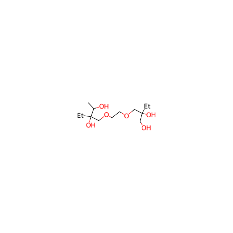 CCC(O)(CO)COCCOCC(O)(CC)C(C)O